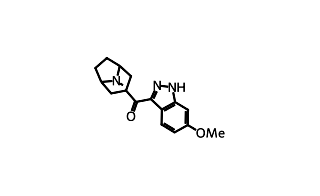 COc1ccc2c(C(=O)C3CC4CCC(C3)N4C)n[nH]c2c1